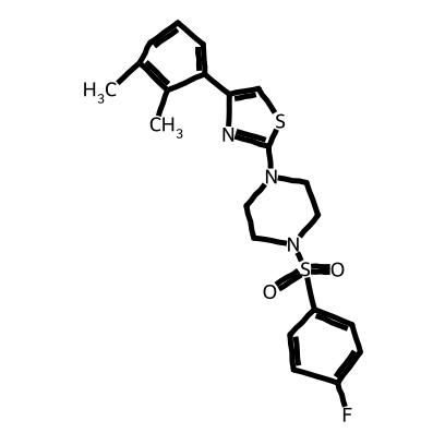 Cc1cccc(-c2csc(N3CCN(S(=O)(=O)c4ccc(F)cc4)CC3)n2)c1C